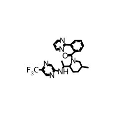 CC1CCC(C(C)Nc2cnc(C(F)(F)F)cn2)N(C(=O)c2ccccc2-c2ncccn2)C1